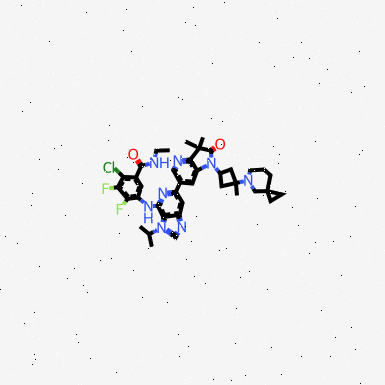 CCNC(=O)c1cc(Nc2nc(-c3cnc4c(c3)N(C3CC(C)(N5CCCC6(CC6)C5)C3)C(=O)C4(C)C)cc3ncn(C(C)C)c23)c(F)c(F)c1Cl